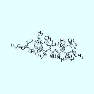 C/C=N\C(=N/C(=N)c1c(C)c(C)c(N(C)c2ccc(OC)cc2)c(C)c1C)c1c(C)c(C)cc(C)c1C